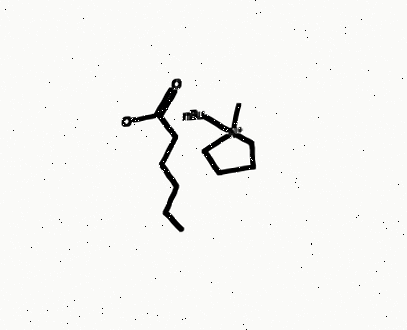 CCCCCC(=O)[O-].CCCC[N+]1(C)CCCC1